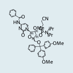 COc1ccc(C(OC[C@H]2O[C@@H](n3ccc(NC(=O)c4ccccc4)nc3=O)[C@H](OC)[C@@H]2OP(OCCC#N)N(C(C)C)C(C)C)(c2ccccc2)c2ccc(OC)cc2)cc1